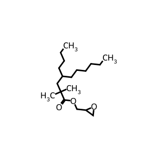 CCCCCCC(CCCC)CC(C)(C)C(=O)OCC1CO1